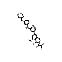 COc1cc(-c2ccnc(Nc3cccc(CN4CCOCC4)c3)n2)cc2c1C(=O)N(C(F)C(F)F)CC2